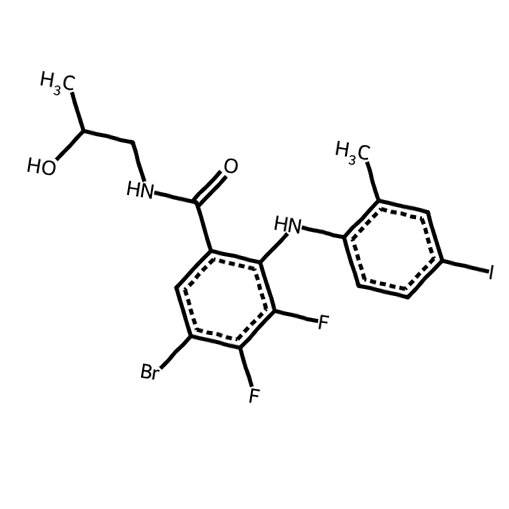 Cc1cc(I)ccc1Nc1c(C(=O)NCC(C)O)cc(Br)c(F)c1F